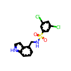 O=S(=O)(NCc1cccc2[nH]ccc12)c1cc(Cl)cc(Cl)c1